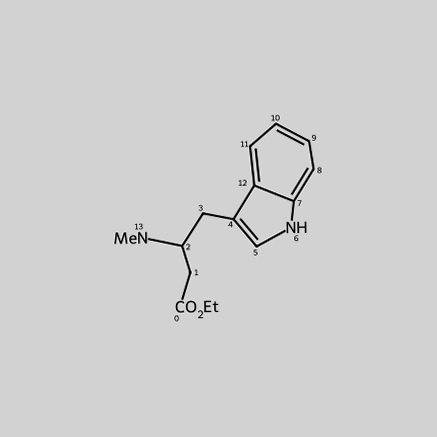 CCOC(=O)CC(Cc1c[nH]c2ccccc12)NC